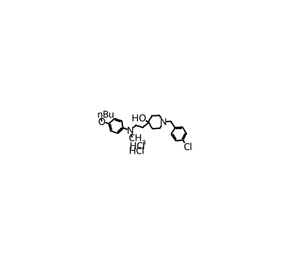 CCCCOc1ccc(N(C)CCC2(O)CCN(Cc3ccc(Cl)cc3)CC2)cc1.Cl.Cl